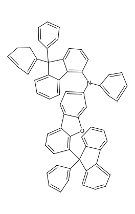 C1=CCCC(C2(c3ccccc3)c3ccccc3-c3c(N(c4ccccc4)c4ccc5c(c4)oc4c(C6(c7ccccc7)c7ccccc7-c7ccccc76)cccc45)cccc32)=C1